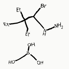 CCC(CC)(CC)C(Br)NN.OB(O)O